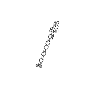 O=C1CCC(NC(=O)c2ccc(N3CCC4(CCC(N5CCN(c6ccc([N+](=O)[O-])cc6)CC5)CC4)CC3)nn2)C(=O)N1